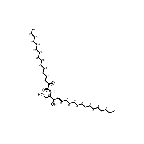 CCCCCCCCCCCCC/C=C/C(O)C(CO)NC(=O)C(=O)CCCCCCCCCCCCCC